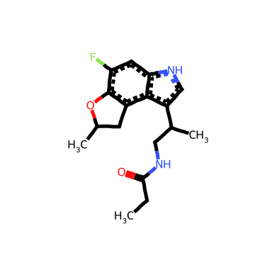 CCC(=O)NCC(C)c1c[nH]c2cc(F)c3c(c12)CC(C)O3